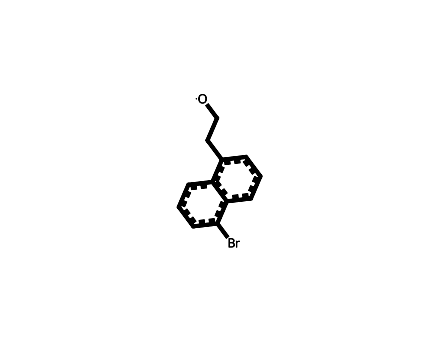 [O]CCc1cccc2c(Br)cccc12